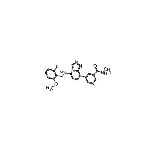 CNC(=O)c1cncc(-c2ccc(NCc3c(F)cccc3OC)n3cnnc23)c1